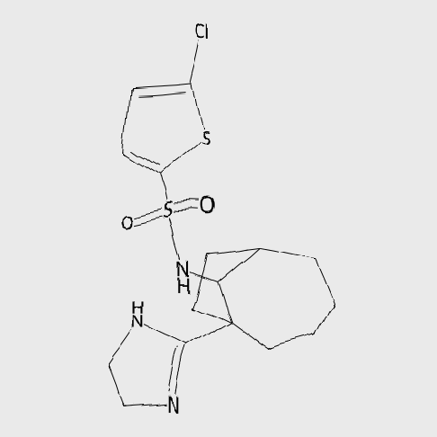 O=S(=O)(NC1C2CCCCC1(C1=NCCN1)CC2)c1ccc(Cl)s1